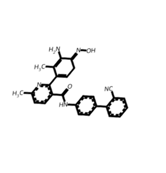 CC1=C(N)C(=NO)CC=C1c1nc(C)ccc1C(=O)Nc1ccc(-c2ccccc2C#N)cc1